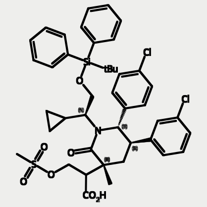 CC(C)(C)[Si](OC[C@H](C1CC1)N1C(=O)[C@@](C)(C(COS(C)(=O)=O)C(=O)O)C[C@H](c2cccc(Cl)c2)[C@H]1c1ccc(Cl)cc1)(c1ccccc1)c1ccccc1